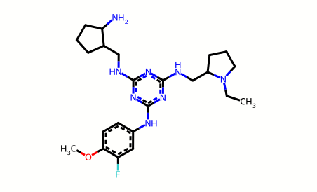 CCN1CCCC1CNc1nc(NCC2CCCC2N)nc(Nc2ccc(OC)c(F)c2)n1